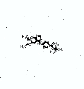 CCOC(Cc1c(Cl)ncnc1NC1CCN(C(=O)OC(C)(C)C)CC1)OCC